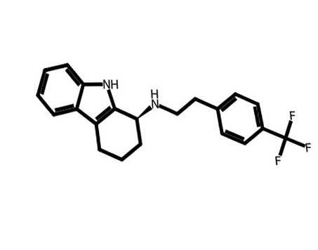 FC(F)(F)c1ccc(CCN[C@H]2CCCc3c2[nH]c2ccccc32)cc1